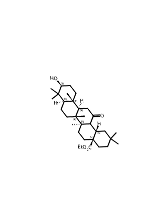 CCOC(=O)[C@]12CCC(C)(C)C[C@H]1C1C(=O)C[C@@H]3[C@@]4(C)CC[C@H](O)C(C)(C)[C@@H]4CC[C@@]3(C)[C@]1(C)CC2